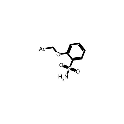 CC(=O)COc1ccccc1S(N)(=O)=O